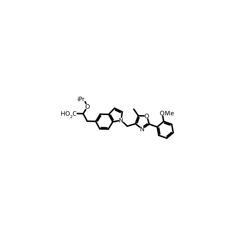 COc1ccccc1-c1nc(Cn2ccc3cc(CC(OC(C)C)C(=O)O)ccc32)c(C)o1